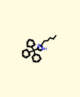 [CH2]CCCCc1nc(C(c2ccccc2)(c2ccccc2)c2ccccc2)c[nH]1